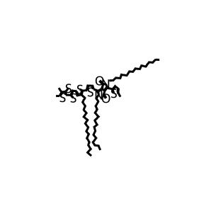 CCCCCCCCCCCCCCCCCc1c(-c2ccc(C3=C4C(=O)N(CCCCCCCCCCCCCCCC)C(c5ccc(C)s5)=C4C(=O)N3CCCCCCCCCCCCCCCC)s2)sc2c1sc1c3sc(C)c(C)c3sc21